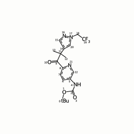 CC(C)(C)OC(=O)Nc1ccc(C(=O)C(C)(C)c2cnn(CC(F)(F)F)c2)nc1